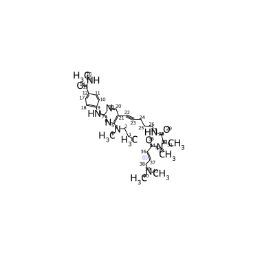 CCCN(C)c1nc(Nc2ccc(C(=O)NC)cc2)ncc1C#CCCCNC(=O)[C@H](C)N(C)C(=O)/C=C/CN(C)C